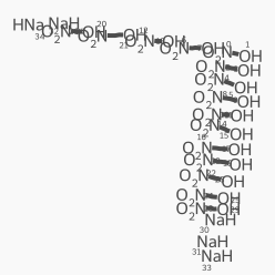 O=[N+]([O-])O.O=[N+]([O-])O.O=[N+]([O-])O.O=[N+]([O-])O.O=[N+]([O-])O.O=[N+]([O-])O.O=[N+]([O-])O.O=[N+]([O-])O.O=[N+]([O-])O.O=[N+]([O-])O.O=[N+]([O-])O.O=[N+]([O-])O.O=[N+]([O-])O.O=[N+]([O-])O.O=[N+]([O-])O.[NaH].[NaH].[NaH].[NaH].[NaH]